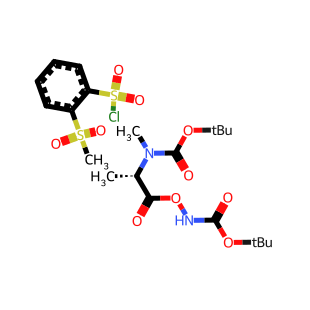 CS(=O)(=O)c1ccccc1S(=O)(=O)Cl.C[C@@H](C(=O)ONC(=O)OC(C)(C)C)N(C)C(=O)OC(C)(C)C